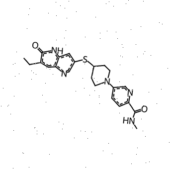 CCc1cc2ncc(SC3CCN(c4ccc(C(=O)NC)nc4)CC3)cc2[nH]c1=O